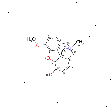 COc1ccc2c3c1OC1C(=O)C=CC4C(C2)N(C)CC[C@]314